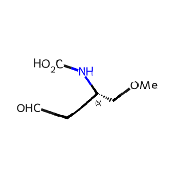 COC[C@H](CC=O)NC(=O)O